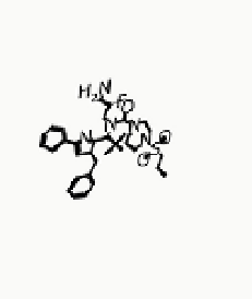 CCCS(=O)(=O)N1CCN(C(=O)N(C[C@@H](F)CN)[C@@H](C2=NC(c3ccccc3)=CC2Cc2ccccc2)C(C)(C)C)CC1